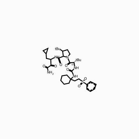 CC(C)(C)C1CCN(C(=O)[C@@H](NC(=O)NC2(CCS(=O)(=O)c3ccccc3)CCCCC2)C(C)(C)C)C1C(=O)NC(CC1CC1)C(=O)C(N)=O